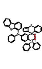 c1ccc(N(c2ccc3c(c2)[Si]2(c4ccccc4Sc4ccccc42)c2ccccc2[Si]3(c2ccccc2)c2ccccc2)c2cccc3c2sc2ccccc23)cc1